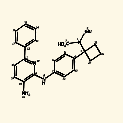 CC(C)(C)N(C(=O)O)C1(c2ccc(Nc3nc(-c4ccccc4)ccc3N)cc2)CCC1